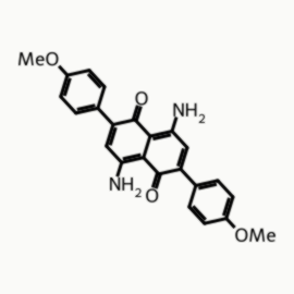 COc1ccc(C2=CC(N)=C3C(=O)C(c4ccc(OC)cc4)=CC(N)=C3C2=O)cc1